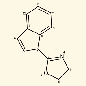 C1=CC(C2=NCCO2)c2ccccc21